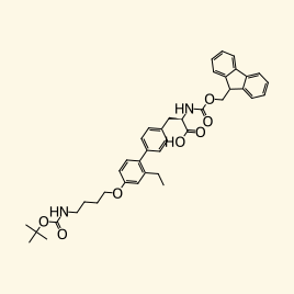 CCc1cc(OCCCCNC(=O)OC(C)(C)C)ccc1-c1ccc(C[C@@H](NC(=O)OCC2c3ccccc3-c3ccccc32)C(=O)O)cc1